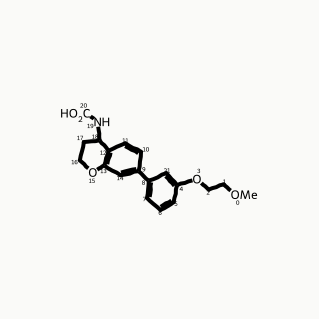 COCCOc1cccc(-c2ccc3c(c2)OCCC3NC(=O)O)c1